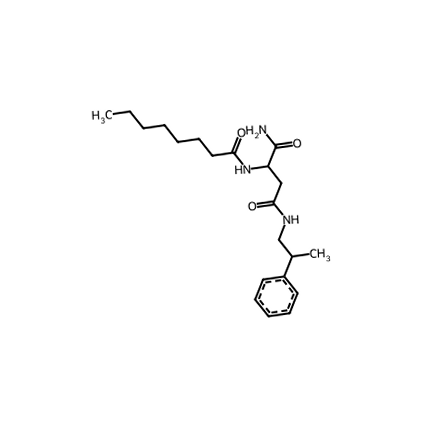 CCCCCCCC(=O)NC(CC(=O)NCC(C)c1ccccc1)C(N)=O